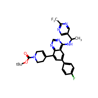 CC(Nc1ncnc2c(C3=CCN(C(=O)OC(C)(C)C)CC3)cc(-c3ccc(F)cc3)cc12)c1cnc(C(F)(F)F)nc1